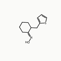 O/N=C1\CCCCC1Cc1cccs1